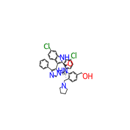 C[C@@H](c1ccc(Cl)cc1)n1cnc(-c2ccccc2)c1-c1c(C(=O)Nc2cc(CO)ccc2CN2CCCC2)[nH]c2cc(Cl)ccc12